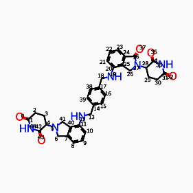 O=C1CCC(N2Cc3cccc(NCc4ccc(CNc5cccc6c5CN(C5CCC(=O)NC5=O)C6=O)cc4)c3C2)C(=O)N1